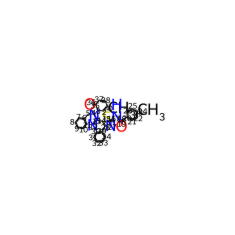 CC1=CC(N2Cc3ccccc3N=C2c2sc(NC(=O)c3ccc(C)cc3)nc2-c2ccccc2)C(=O)C=C1